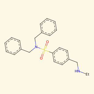 CCNCc1ccc(S(=O)(=O)N(Cc2ccccc2)Cc2ccccc2)cc1